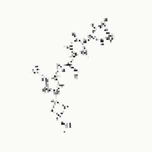 N#Cc1nn(C2CC(O)C2)cc1NC(=O)c1csc(-c2cn[nH]c2)n1